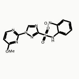 COc1ccnc(-n2cnc(S(=O)(=O)Nc3ccccc3[N+](=O)[O-])n2)n1